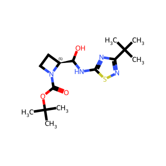 CC(C)(C)OC(=O)N1CC[C@H]1C(O)Nc1nc(C(C)(C)C)ns1